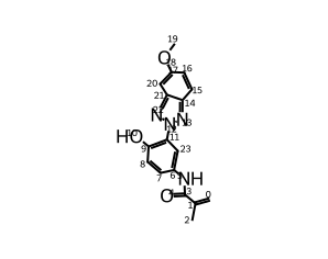 C=C(C)C(=O)Nc1ccc(O)c(-n2nc3ccc(OC)cc3n2)c1